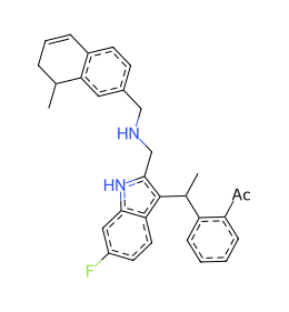 CC(=O)c1ccccc1C(C)c1c(CNCc2ccc3c(c2)C(C)CC=C3)[nH]c2cc(F)ccc12